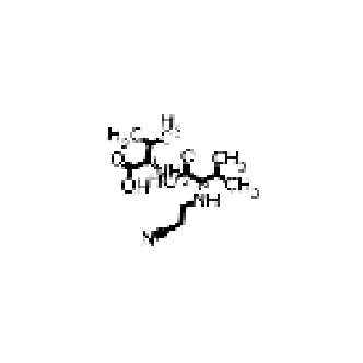 CC(C)[C@H](N)C(=O)O.CC(C)[C@H](NCCC#N)C(=O)O